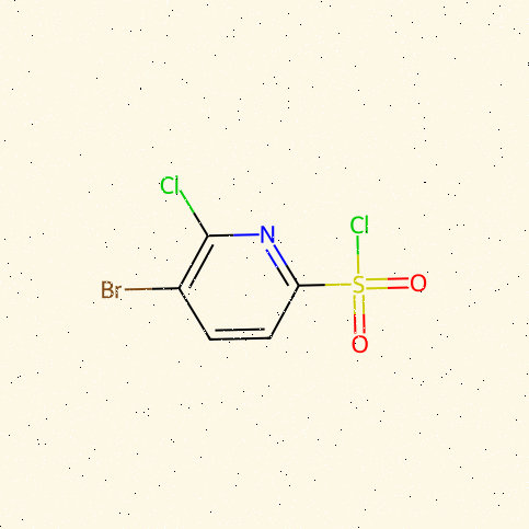 O=S(=O)(Cl)c1ccc(Br)c(Cl)n1